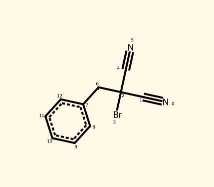 N#CC(Br)(C#N)[CH]c1ccccc1